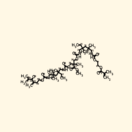 C=C(C)C(=O)OCCOC(=O)NCC(C)(C)CC(C)(CC)CNC(=O)OCC(C)(COC(=O)NCC(C)(CC)CC(C)(C)CNC(=O)OCCC(=C)C(=O)C(=C)C)C(=O)OC